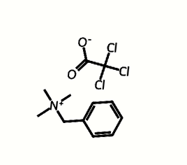 C[N+](C)(C)Cc1ccccc1.O=C([O-])C(Cl)(Cl)Cl